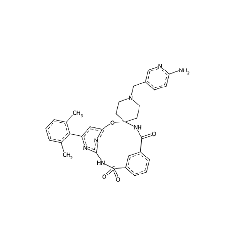 Cc1cccc(C)c1-c1cc2nc(n1)NS(=O)(=O)c1cccc(c1)C(=O)NC1(CCN(Cc3ccc(N)nc3)CC1)O2